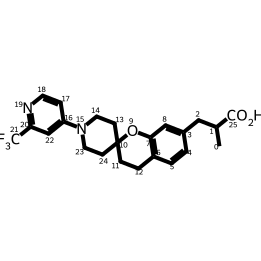 CC(Cc1ccc2c(c1)OC1(CC2)CCN(c2ccnc(C(F)(F)F)c2)CC1)C(=O)O